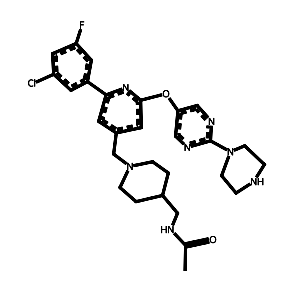 CC(=O)NCC1CCN(Cc2cc(Oc3cnc(N4CCNCC4)nc3)nc(-c3cc(F)cc(Cl)c3)c2)CC1